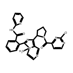 N[N+]12C=CN=CC1=C(C1CCCN1C(=O)c1ccnc(Cl)n1)N=C2c1ccccc1C(=O)Nc1ccccn1